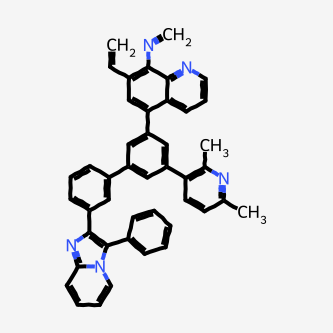 C=Cc1cc(-c2cc(-c3cccc(-c4nc5ccccn5c4-c4ccccc4)c3)cc(-c3ccc(C)nc3C)c2)c2cccnc2c1N=C